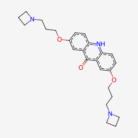 O=c1c2cc(OCCCN3CCC3)ccc2[nH]c2ccc(OCCCN3CCC3)cc12